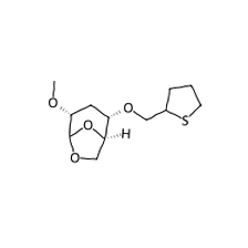 CO[C@@H]1C[C@H](OCC2CCCS2)[C@H]2COC1O2